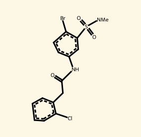 CNS(=O)(=O)c1cc(NC(=O)Cc2ccccc2Cl)ccc1Br